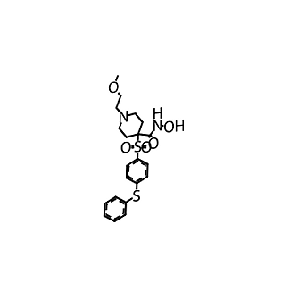 COCCN1CCC(C(=O)NO)(S(=O)(=O)c2ccc(Sc3ccccc3)cc2)CC1